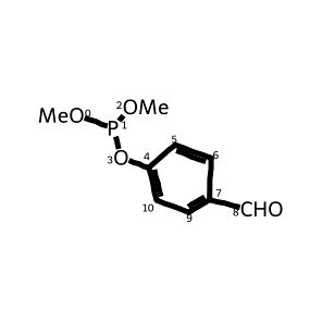 COP(OC)Oc1ccc(C=O)cc1